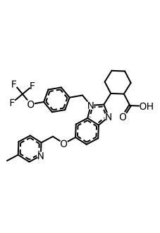 Cc1ccc(COc2ccc3nc(C4CCCCC4C(=O)O)n(Cc4ccc(OC(F)(F)F)cc4)c3c2)nc1